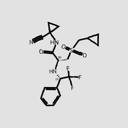 N#CC1(NC(=O)[C@H](CS(=O)(=O)CC2CC2)N[C@@H](c2ccccc2)C(F)(F)F)CC1